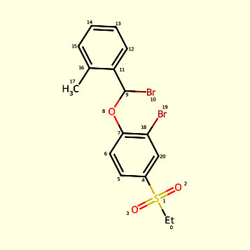 CCS(=O)(=O)c1ccc(OC(Br)c2ccccc2C)c(Br)c1